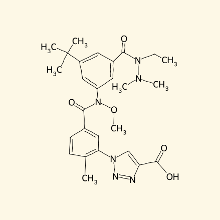 CCN(C(=O)c1cc(N(OC)C(=O)c2ccc(C)c(-n3cc(C(=O)O)nn3)c2)cc(C(C)(C)C)c1)N(C)C